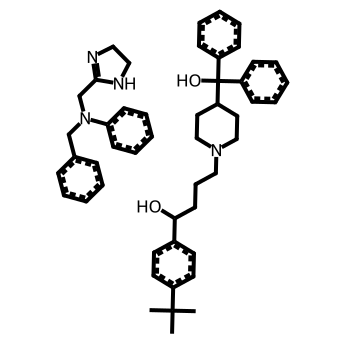 CC(C)(C)c1ccc(C(O)CCCN2CCC(C(O)(c3ccccc3)c3ccccc3)CC2)cc1.c1ccc(CN(CC2=NCCN2)c2ccccc2)cc1